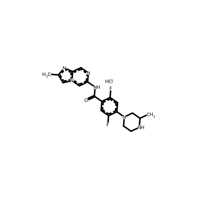 Cc1cn2cc(NC(=O)c3cc(F)c(N4CCNC(C)C4)cc3F)ncc2n1.Cl